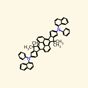 CC1(C)c2cc(N(c3ccccc3)c3cccc4ccccc34)ccc2-c2c1c1cccc3c4c(c5cccc2c5c31)C(C)(C)c1cc(N(c2ccccc2)c2cccc3ccccc23)ccc1-4